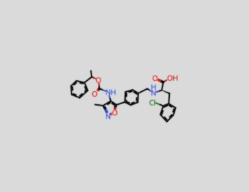 Cc1noc(-c2ccc(CN[C@H](Cc3ccccc3Cl)C(=O)O)cc2)c1NC(=O)OC(C)c1ccccc1